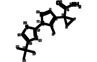 Cc1c(C2(C(N)=O)CC2)cnn1-c1nc(C(C)(C)C)cs1